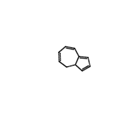 C1=CCC2C=CC=C2C=C1